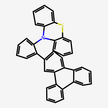 c1ccc2c(c1)Sc1ccccc1N2c1ccccc1-c1ccc2c3ccccc3c3ccccc3c2c1